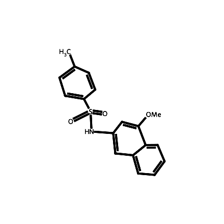 COc1cc(NS(=O)(=O)c2ccc(C)cc2)cc2ccccc12